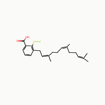 CC(C)=CCCC(C)=CCCC(C)=CCc1cccc(C(=O)O)c1SF